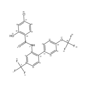 O=C(Nc1cc(C(F)(F)F)ccc1-c1ccc(OC(F)(F)F)cc1)c1ccc(Cl)cc1O